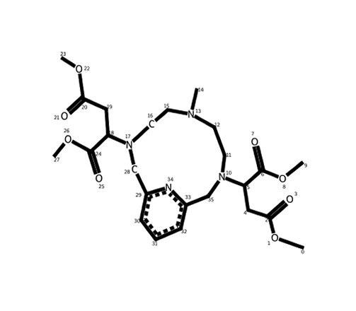 COC(=O)CC(C(=O)OC)N1CCN(C)CCN(C(CC(=O)OC)C(=O)OC)Cc2cccc(n2)C1